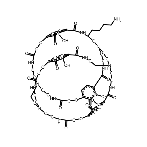 NCCCCC1CN2CCNC(=O)c3ccc(c(=O)n3O)OCC(=O)NCCN(CCNC(=O)COc3ccc(n(O)c3=O)C(=O)N1)CCN1CCNC(=O)COc3ccc(n(O)c3=O)C(=O)NCCN(CCNC(=O)c3ccc(c(=O)n3O)OCC(=O)NCC1)CC2